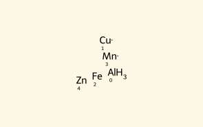 [AlH3].[Cu].[Fe].[Mn].[Zn]